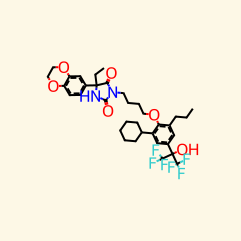 CCCc1cc(C(O)(C(F)(F)F)C(F)(F)F)cc(C2CCCCC2)c1OCCCCN1C(=O)NC(CC)(c2ccc3c(c2)OCCO3)C1=O